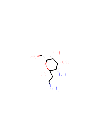 NCC[C@@]1(O)O[C@H](CO)[C@H](O)[C@H](O)[C@H]1N